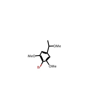 COc1cc(C(C)OC)cc(OC)c1Br